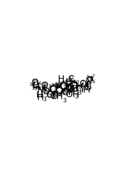 CC(C)[C@@H](OC(=O)N1CCC1)C1C[C@@H](C)[C@H]2C(O1)[C@H](O)[C@@]1(C)C3CC[C@H]4C(C)(C)C(OC(=O)NC5CCOC5)CCC45CC35CCC21C